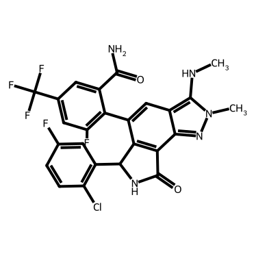 CNc1c2cc(-c3c(F)cc(C(F)(F)F)cc3C(N)=O)c3c(c2nn1C)C(=O)NC3c1cc(F)ccc1Cl